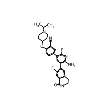 CC(C)N1CCC(Oc2ccc(-c3cc(-c4cc5c(cc4F)C(=O)NCC5)c(N)nc3F)cc2C#N)CC1